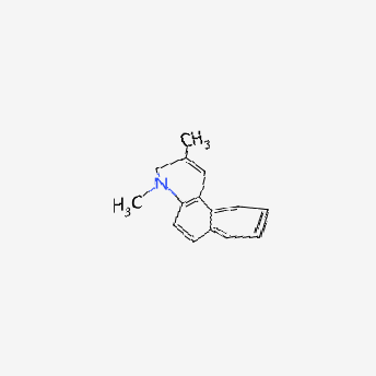 CC1=Cc2c(ccc3ccccc23)N(C)C1